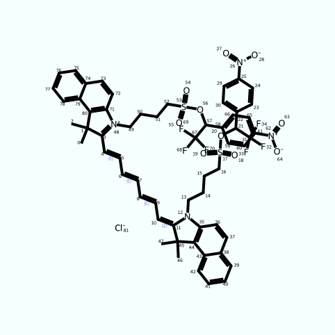 CC1(C)C(/C=C/C=C/C=C/C=C2\N(CCCCS(=O)(=O)OC(c3ccc([N+](=O)[O-])cc3)C(F)(F)F)c3ccc4ccccc4c3C2(C)C)=[N+](CCCCS(=O)(=O)OC(c2ccc([N+](=O)[O-])cc2)C(F)(F)F)c2ccc3ccccc3c21.[Cl-]